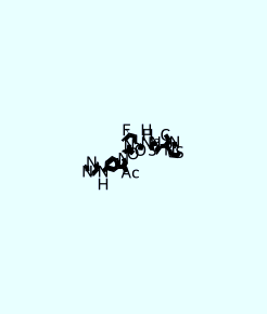 CC(=O)c1cn(CC(=O)N2C[C@H](F)C[C@H]2C(=O)Nc2nc(-c3c(C)nc4sccn34)cs2)c2ccc(Nc3cncnc3)cc12